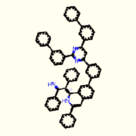 N=C(/C(=C1\NC(c2ccccc2)=Cc2ccc(-c3cccc(-c4cc(-c5cccc(-c6ccccc6)c5)nc(-c5cccc(-c6ccccc6)c5)n4)c3)cc21)c1ccccc1)c1ccccc1